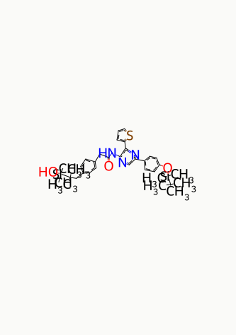 CC(C)(Cc1ccc(CC(=O)Nc2ncc(-c3ccc(O[Si](C)(C)C(C)(C)C)cc3)nc2-c2cccs2)cc1)[Si](C)(C)O